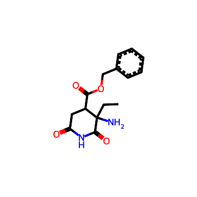 CCC1(N)C(=O)NC(=O)CC1C(=O)OCc1ccccc1